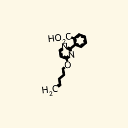 C=CCCCOc1ccnc(-c2ccccc2C(=O)O)n1